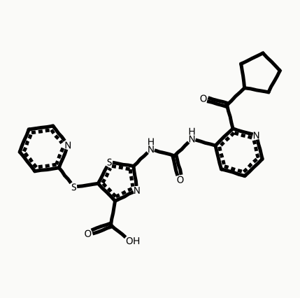 O=C(Nc1nc(C(=O)O)c(Sc2ccccn2)s1)Nc1cccnc1C(=O)C1CCCC1